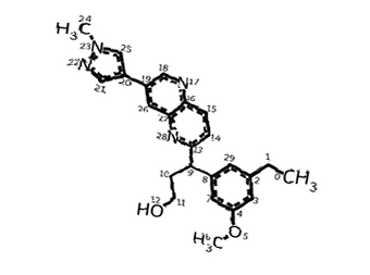 CCc1cc(OC)cc(C(CCO)c2ccc3ncc(-c4cnn(C)c4)cc3n2)c1